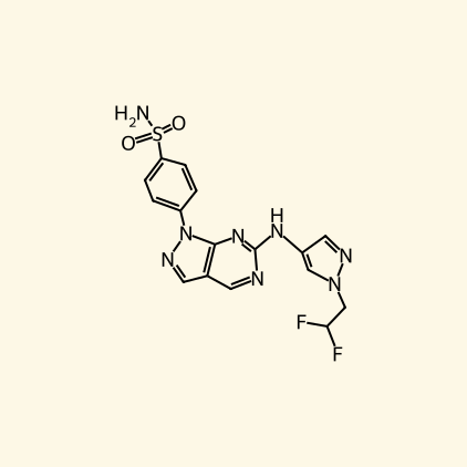 NS(=O)(=O)c1ccc(-n2ncc3cnc(Nc4cnn(CC(F)F)c4)nc32)cc1